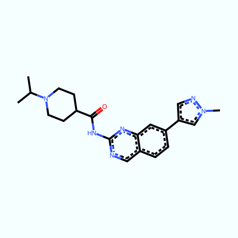 CC(C)N1CCC(C(=O)Nc2ncc3ccc(-c4cnn(C)c4)cc3n2)CC1